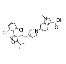 CC(C)c1onc(-c2c(Cl)cccc2Cl)c1CCN1CCN(c2ccc3c(C(=O)O)cn(C)c3c2)CC1